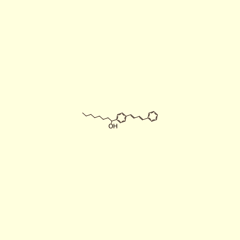 CCCCCCCC(O)c1ccc(/C=C/C=C/c2ccccc2)cc1